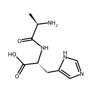 C[C@@H](N)C(=O)N[C@H](Cc1cnc[nH]1)C(=O)O